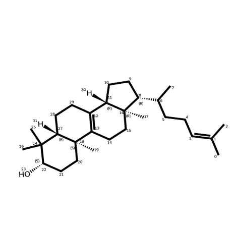 CC(C)=CCCC(C)[C@H]1CC[C@H]2C3=C(CC[C@]12C)[C@@]1(C)CC[C@H](O)C(C)(C)[C@@H]1CC3